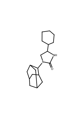 O=C1NC(C2CCCCC2)CN1C1C2CC3CC(C2)CC1C3